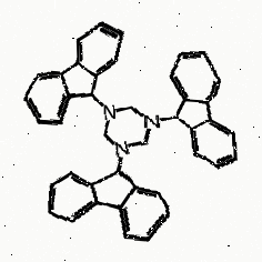 c1ccc2c(c1)-c1ccccc1C2N1CN(C2c3ccccc3-c3ccccc32)CN(C2c3ccccc3-c3ccccc32)C1